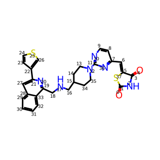 O=C1NC(=O)C(=Cc2ccnc(N3CCC(CNCc4nc(-c5ccsc5)cc5ccccc45)CC3)n2)S1